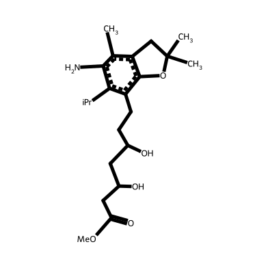 COC(=O)CC(O)CC(O)CCc1c2c(c(C)c(N)c1C(C)C)CC(C)(C)O2